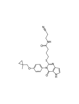 CC1(COc2ccc(-n3c(SCCCC(=O)NCCC#N)nc4cc[nH]c4c3=O)cc2)CC1